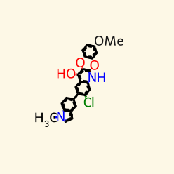 COc1ccc(Oc2c(O)c3cc(-c4ccc5c(ccn5C)c4)c(Cl)cc3[nH]c2=O)cc1